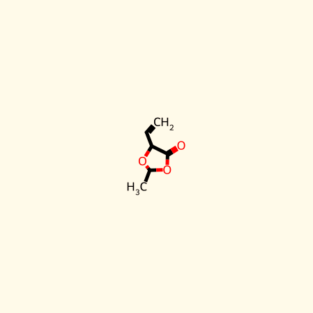 C=CC1OC(C)OC1=O